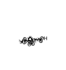 CC(C)(C)OC(=O)Nc1cccc(OCCCC(=O)O)c1[N+](=O)[O-]